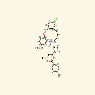 C=CC(OC(=O)c1ccc(Br)cc1)[C@@H]1CC[C@H]1CN1CCCCc2cc(Cl)ccc2COc2ccc(C(=O)O)cc21